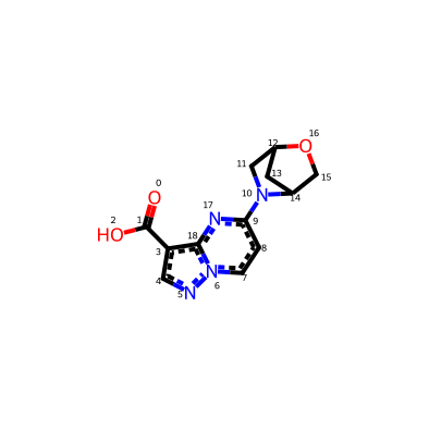 O=C(O)c1cnn2ccc(N3CC4CC3CO4)nc12